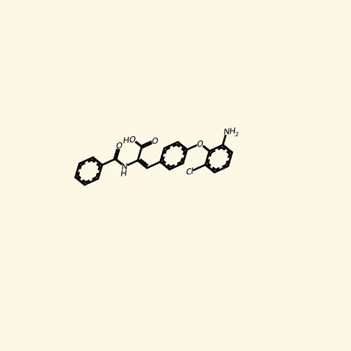 Nc1cccc(Cl)c1Oc1ccc(/C=C(/NC(=O)c2ccccc2)C(=O)O)cc1